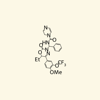 CCC1OC(=O)N(C(NC(=O)N2C=CN=CC2)c2ccccc2)N=C1c1ccc(OC)c(OC(F)(F)F)c1